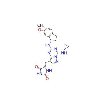 COc1ccc2c(c1)C(Nc1nc(NC3CC3)n3ncc(/C=C4\NC(=O)NC4=O)c3n1)CC2